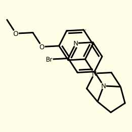 COCOc1c[c]cc(N2CC3CCC(C2)N3c2ccnc(Br)c2)c1